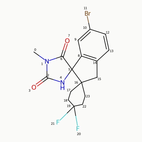 CN1C(=O)NC2(C1=O)c1cc(Br)ccc1CC21CCC(F)(F)CC1